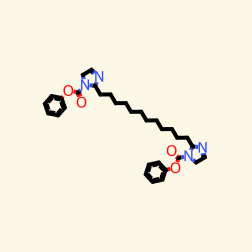 O=C(Oc1ccccc1)N1CC=NC1CCCCCCCCCCCCC1N=CCN1C(=O)Oc1ccccc1